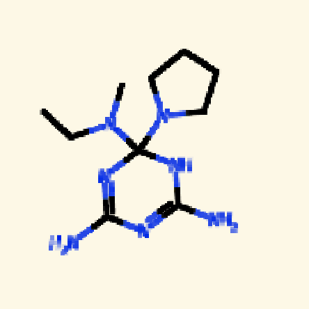 CCN(C)C1(N2CCCC2)N=C(N)N=C(N)N1